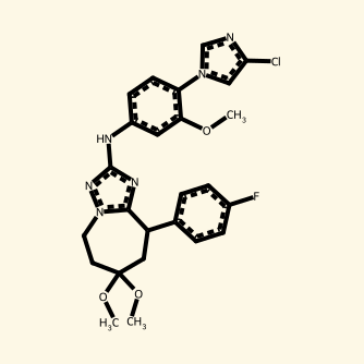 COc1cc(Nc2nc3n(n2)CCC(OC)(OC)CC3c2ccc(F)cc2)ccc1-n1cnc(Cl)c1